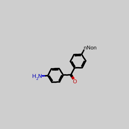 CCCCCCCCCc1ccc(C(=O)c2ccc(N)cc2)cc1